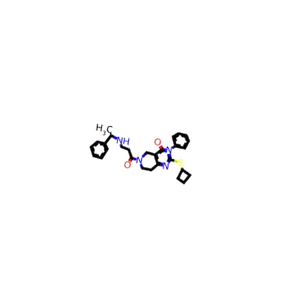 C[C@H](NCCC(=O)N1CCc2nc(SC3CCC3)n(-c3ccccc3)c(=O)c2C1)c1ccccc1